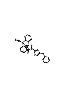 CC1(C(=O)Nc2nc(Cc3ccccc3)cs2)CC2(C#N)c3ccccc3C1c1cccnc12